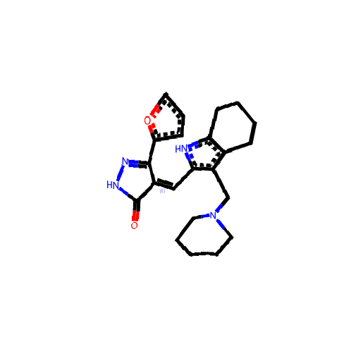 O=C1NN=C(c2ccco2)/C1=C\c1[nH]c2c(c1CN1CCCCC1)CCCC2